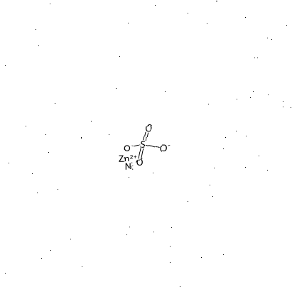 O=S(=O)([O-])[O-].[N].[Zn+2]